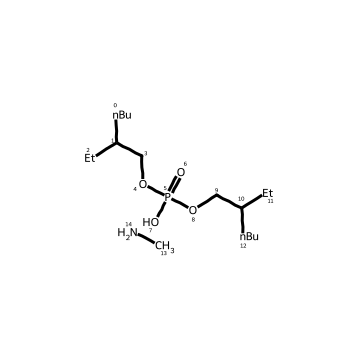 CCCCC(CC)COP(=O)(O)OCC(CC)CCCC.CN